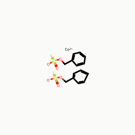 O=S([O-])(=S)OCc1ccccc1.O=S([O-])(=S)OCc1ccccc1.[Co+2]